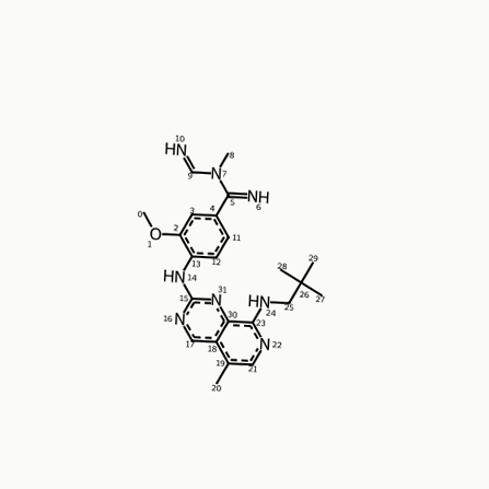 COc1cc(C(=N)N(C)C=N)ccc1Nc1ncc2c(C)cnc(NCC(C)(C)C)c2n1